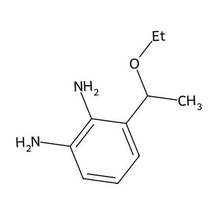 CCOC(C)c1cccc(N)c1N